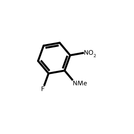 CNc1c(F)cccc1[N+](=O)[O-]